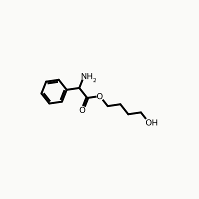 NC(C(=O)OCCCCO)c1ccccc1